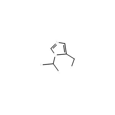 FCc1[c]n[c]n1C(F)F